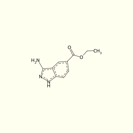 CCOC(=O)c1ccc2[nH]nc(N)c2c1